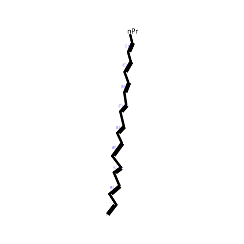 [CH]=C/C=C/C=C/C=C/C=C/C=C/C=C/C=C/C=C/CCC